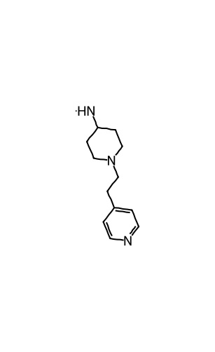 [NH]C1CCN(CCc2ccncc2)CC1